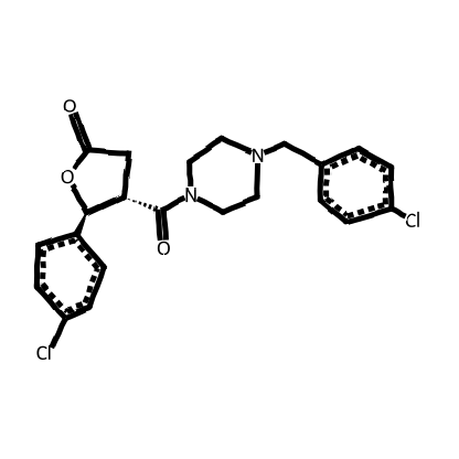 O=C1C[C@H](C(=O)N2CCN(Cc3ccc(Cl)cc3)CC2)[C@@H](c2ccc(Cl)cc2)O1